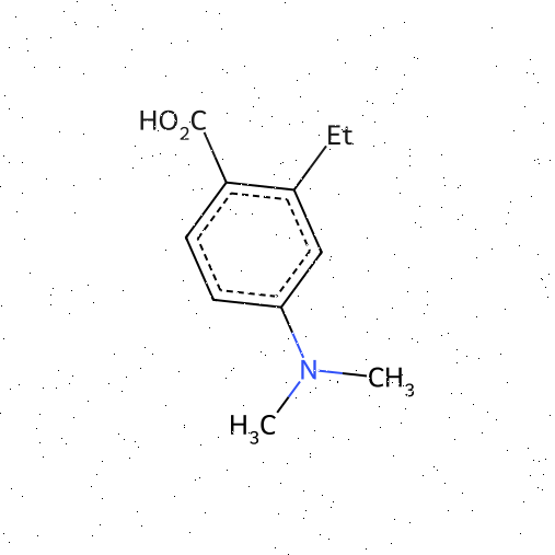 CCc1cc(N(C)C)ccc1C(=O)O